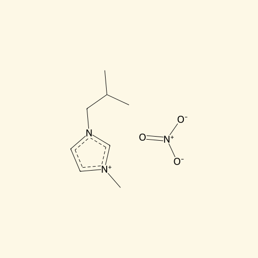 CC(C)Cn1cc[n+](C)c1.O=[N+]([O-])[O-]